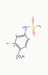 CS(=O)(=O)Nc1ccc(C(=O)O)c(F)c1